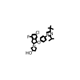 CC(C)c1nc(C(C)(C)C)cn1-c1ccc(O[C@H]2c3cc(Cl)cc(F)c3C[C@@H]2N2CC[C@@H](O)C2)cc1